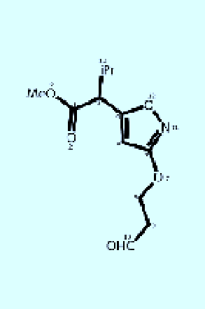 COC(=O)C(c1cc(OCCC=O)no1)C(C)C